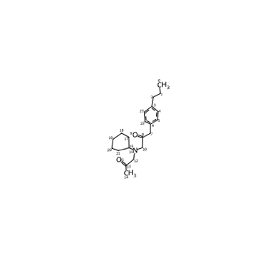 CCCc1ccc(CC(=O)CN(CC(C)=O)C2CCCCC2)cc1